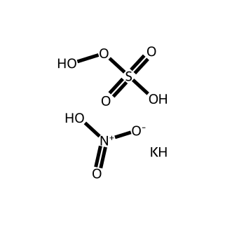 O=S(=O)(O)OO.O=[N+]([O-])O.[KH]